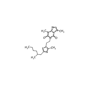 CCCCC(C)Cc1nc(C)c(CCn2c(=O)c3c(ncn3C)n(C)c2=O)s1